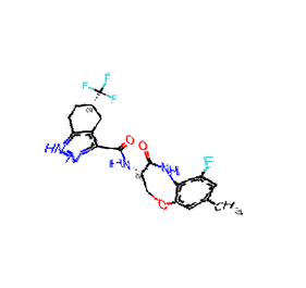 Cc1cc(F)c2c(c1)OC[C@H](NC(=O)c1n[nH]c3c1C[C@@H](C(F)(F)F)CC3)C(=O)N2